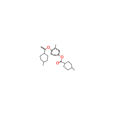 C=C(Oc1ccc(OC(=O)C2CCC(C)CC2)cc1C)C1CCC(C)CC1